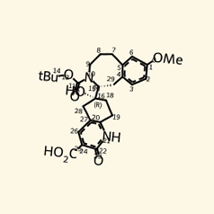 COc1ccc2c(c1)CCCN(C(=O)OC(C)(C)C)[C@@H]([C@@]1(O)CCc3[nH]c(=O)c(C(=O)O)cc3C1)C2